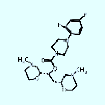 CN1CCO[C@H](CC(OC(=O)N2CCN(c3ccc(F)cc3F)CC2)[C@H]2CN(C)CCO2)C1